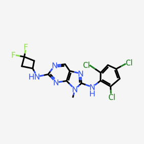 Cn1c(Nc2c(Cl)cc(Cl)cc2Cl)nc2cnc(NC3CC(F)(F)C3)nc21